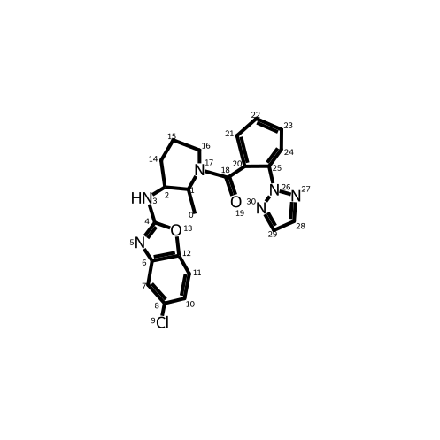 CC1C(Nc2nc3cc(Cl)ccc3o2)CCCN1C(=O)c1ccccc1-n1nccn1